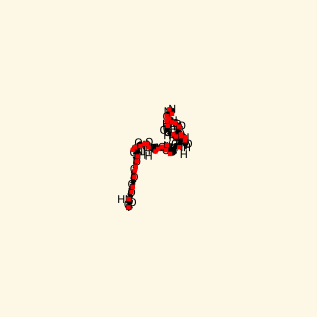 CC(C)[C@H](NC(=O)CCOCCOCCOCCOCCOCCNC(=O)OC(C)(C)C)C(=O)N[C@@H](C)C(=O)Nc1ccc(COC(=O)N(C)Cc2ccccc2C(=O)Nc2nc3c(ncn3[C@@H]3O[C@@H]4CO[PH](=O)O[C@H]5C[C@H](Oc6ccncn6)C[C@@H]5CO[PH](=O)O[C@@H]3[C@@H]4O)c(=O)[nH]2)cc1